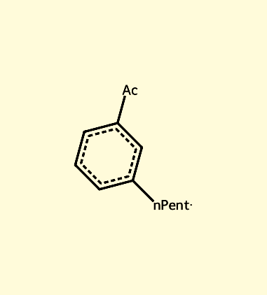 CCCC[CH]c1cccc(C(C)=O)c1